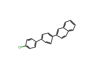 Clc1ccc(-c2ccc(-c3ccc4ccccc4c3)cc2)cc1